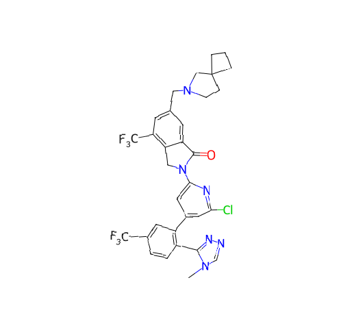 Cn1cnnc1-c1ccc(C(F)(F)F)cc1-c1cc(Cl)nc(N2Cc3c(cc(CN4CCC5(CCC5)C4)cc3C(F)(F)F)C2=O)c1